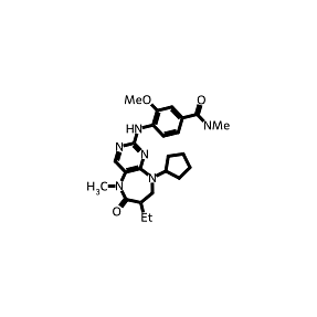 CCC1CN(C2CCCC2)c2nc(Nc3ccc(C(=O)NC)cc3OC)ncc2N(C)C1=O